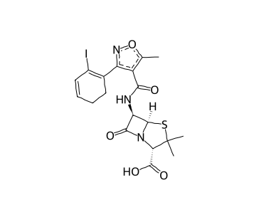 Cc1onc(C2=C(I)C=CCC2)c1C(=O)N[C@@H]1C(=O)N2[C@@H]1SC(C)(C)[C@@H]2C(=O)O